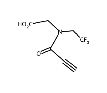 C#CC(=O)N(CC(=O)O)CC(F)(F)F